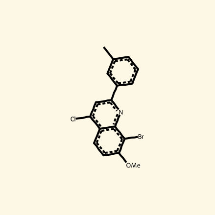 COc1ccc2c(Cl)cc(-c3cccc(C)c3)nc2c1Br